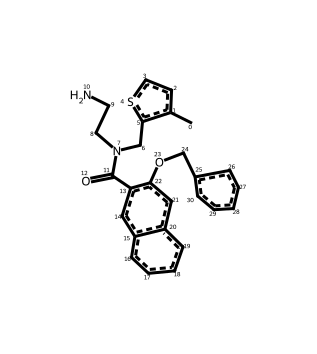 Cc1ccsc1CN(CCN)C(=O)c1cc2ccccc2cc1OCc1ccccc1